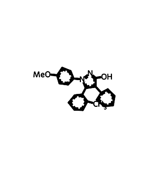 COc1ccc(-n2nc(O)c(-c3ccccc3)c2-c2ccccc2C)cc1